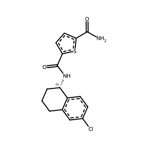 NC(=O)c1ccc(C(=O)N[C@H]2CCCc3cc(Cl)ccc32)s1